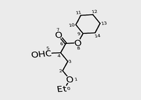 CCOCCC(C=O)C(=O)OC1CCCCC1